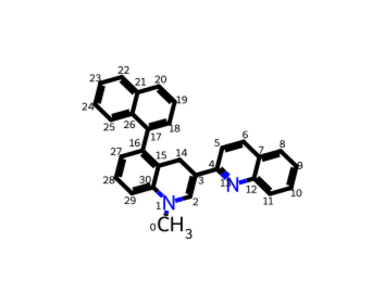 CN1C=C(c2ccc3ccccc3n2)Cc2c(-c3cccc4ccccc34)cccc21